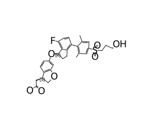 COC(=O)C[C@@H]1COc2cc(O[C@@H]3CCc4c(-c5c(C)cc(S(=O)(=O)CCCO)cc5C)ccc(F)c43)ccc21